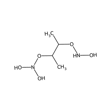 CC(ONO)C(C)ON(O)O